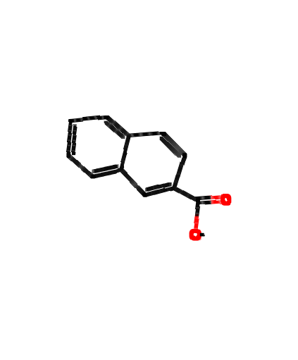 [O]C(=O)c1ccc2ccccc2c1